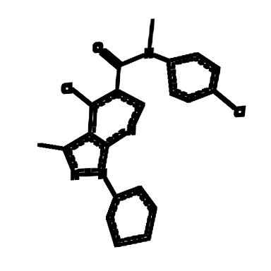 Cc1nn(-c2ccccc2)c2ncc(C(=O)N(C)c3ccc(Cl)cc3)c(Cl)c12